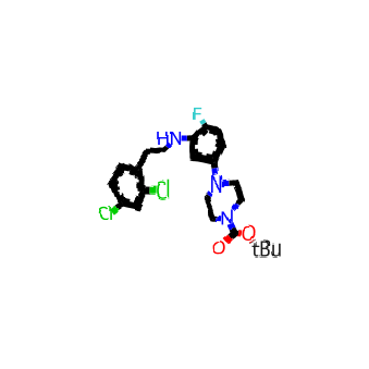 CC(C)(C)OC(=O)N1CCN(c2ccc(F)c(NCCc3ccc(Cl)cc3Cl)c2)CC1